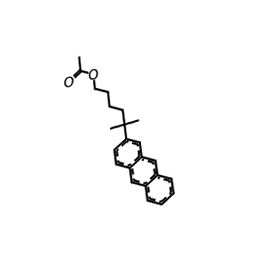 CC(=O)OCCCCC(C)(C)c1ccc2cc3ccccc3cc2c1